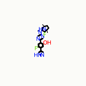 CN(c1cnc(-c2cc(F)c(-c3cn[nH]c3)cc2O)cn1)[C@H]1C[C@]2(C)CC[C@@](C)(N2)[C@H]1F